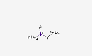 CCCCI(C)CCC